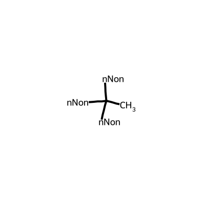 CCCCCCCCCC(C)(CCCCCCCCC)CCCCCCCCC